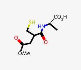 COC(=O)CC(CS)C(=O)N[C@@H](C)C(=O)O